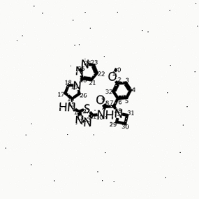 COc1cccc(C(C(=O)Nc2nnc(N[C@@H]3CCN(c4cccnn4)C3)s2)N2CCC2)c1